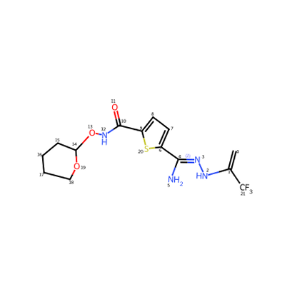 C=C(N/N=C(\N)c1ccc(C(=O)NOC2CCCCO2)s1)C(F)(F)F